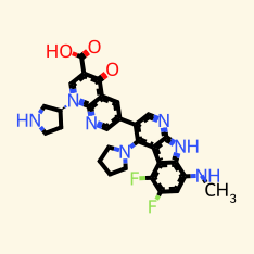 CNc1cc(F)c(F)c2c1[nH]c1ncc(-c3cnc4c(c3)c(=O)c(C(=O)O)cn4[C@@H]3CCNC3)c(N3CCCC3)c12